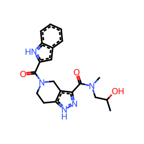 CC(O)CN(C)C(=O)c1n[nH]c2c1CN(C(=O)c1cc3ccccc3[nH]1)CC2